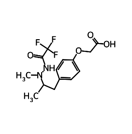 CC(Cc1ccc(OCC(=O)O)cc1)N(C)NC(=O)C(F)(F)F